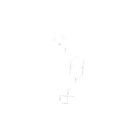 CCC1(COC2CC3CCC(OCC4(CC)COC4)C(C2)O3)COC1